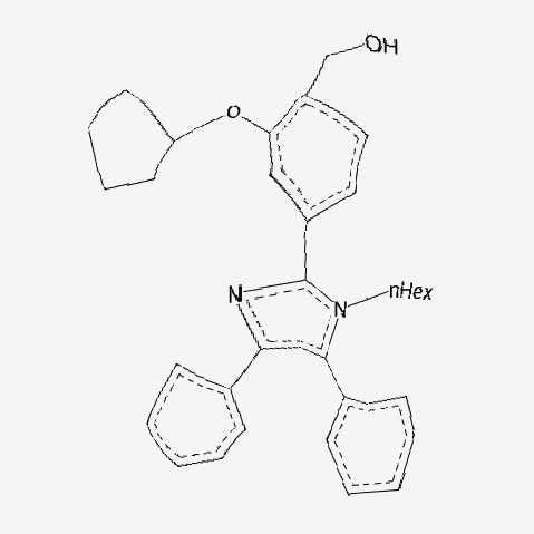 CCCCCCn1c(-c2ccc(CO)c(OC3CCCC3)c2)nc(-c2ccccc2)c1-c1ccccc1